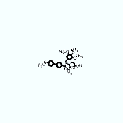 COc1ccc(-c2ccc(C(=O)N(Cc3cc(OC)c(OC)c(OC)c3)[C@@H](CCC(=O)O)C(N)=O)cc2)cc1